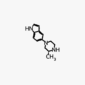 C[C@H]1CN(c2ccc3[nH]ccc3c2)CCN1